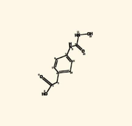 O=C(O)Cc1ccc(NC(=O)NO)cc1